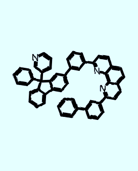 c1ccc(-c2cccc(-c3ccc4ccc5ccc(-c6cccc(-c7ccc8c(c7)C(c7ccccc7)(c7cccnc7)c7ccccc7-8)c6)nc5c4n3)c2)cc1